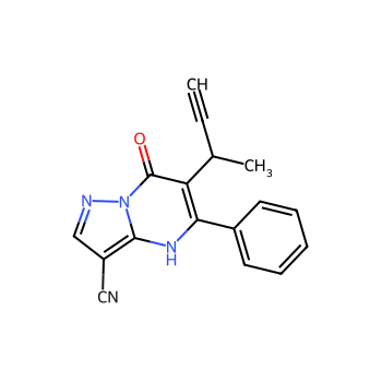 C#CC(C)c1c(-c2ccccc2)[nH]c2c(C#N)cnn2c1=O